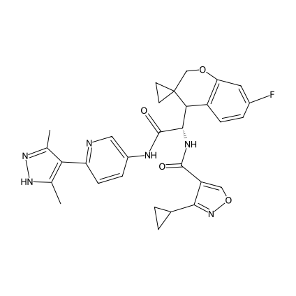 Cc1n[nH]c(C)c1-c1ccc(NC(=O)[C@@H](NC(=O)c2conc2C2CC2)C2c3ccc(F)cc3OCC23CC3)cn1